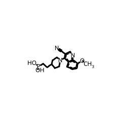 COc1cccc2c(N3CCC(CCP(O)O)CC3)c(C#N)cnc12